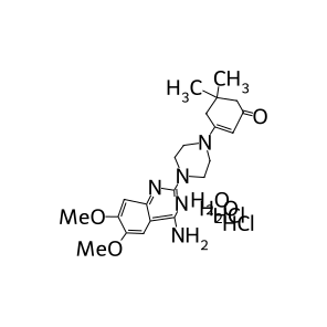 COc1cc2nc(N3CCN(C4=CC(=O)CC(C)(C)C4)CC3)nc(N)c2cc1OC.Cl.Cl.O.O